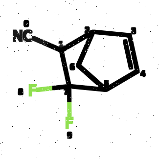 N#CC1C2C=CC(C2)C1(F)F